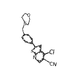 N#Cc1cnc2sc(-c3ccc(CN4CCOCC4)cc3)cc2c1Cl